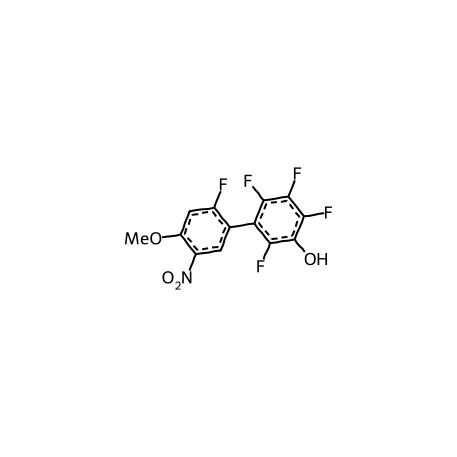 COc1cc(F)c(-c2c(F)c(O)c(F)c(F)c2F)cc1[N+](=O)[O-]